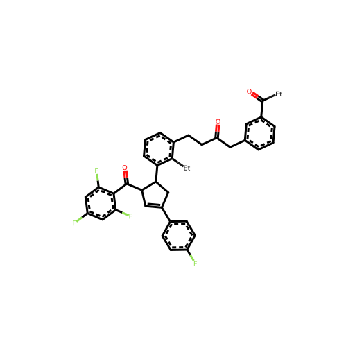 CCC(=O)c1cccc(CC(=O)CCc2cccc(C3CC(c4ccc(F)cc4)=CC3C(=O)c3c(F)cc(F)cc3F)c2CC)c1